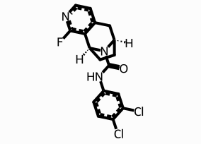 O=C(Nc1ccc(Cl)c(Cl)c1)N1[C@@H]2CC[C@H]1c1c(ccnc1F)C2